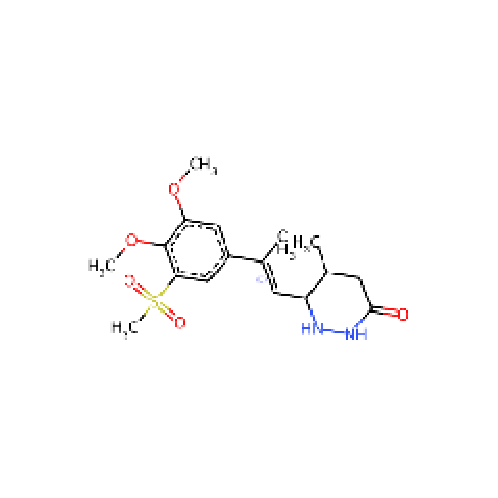 COc1cc(/C(C)=C/C2NNC(=O)CC2C)cc(S(C)(=O)=O)c1OC